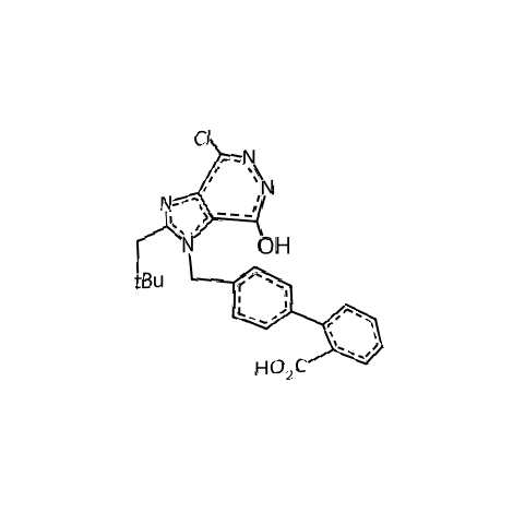 CC(C)(C)Cc1nc2c(Cl)nnc(O)c2n1Cc1ccc(-c2ccccc2C(=O)O)cc1